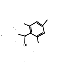 CB(O)c1c(C)cc(C)cc1C